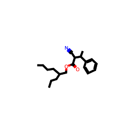 CCCCC(CCC)COC(=O)C(C#N)C(C)c1ccccc1